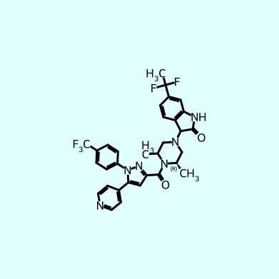 CC1CN(C2C(=O)Nc3cc(C(C)(F)F)ccc32)C[C@@H](C)N1C(=O)c1cc(-c2ccncc2)n(-c2ccc(C(F)(F)F)cc2)n1